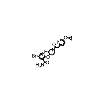 NC(=O)c1cc(Br)cnc1O[C@H]1CCN(C(=O)Cc2ccc(OC3CC3)cn2)C[C@H]1F